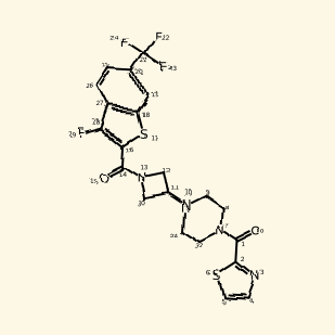 O=C(c1nccs1)N1CCN(C2CN(C(=O)c3sc4cc(C(F)(F)F)ccc4c3F)C2)CC1